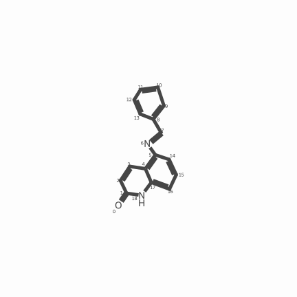 O=c1ccc2c(/N=C/c3ccccc3)cccc2[nH]1